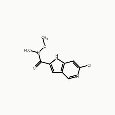 CON(C)C(=O)c1cc2cnc(Cl)cc2[nH]1